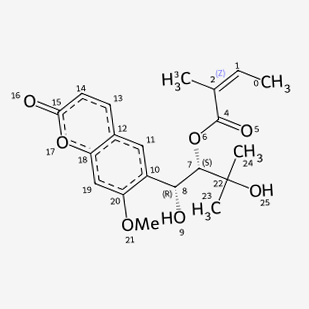 C/C=C(/C)C(=O)O[C@@H]([C@H](O)c1cc2ccc(=O)oc2cc1OC)C(C)(C)O